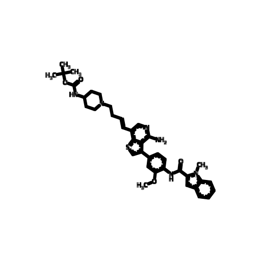 COc1cc(-c2csc3c(/C=C/CCN4CCC(NC(=O)OC(C)(C)C)CC4)cnc(N)c23)ccc1NC(=O)c1cc2ccccc2n1C